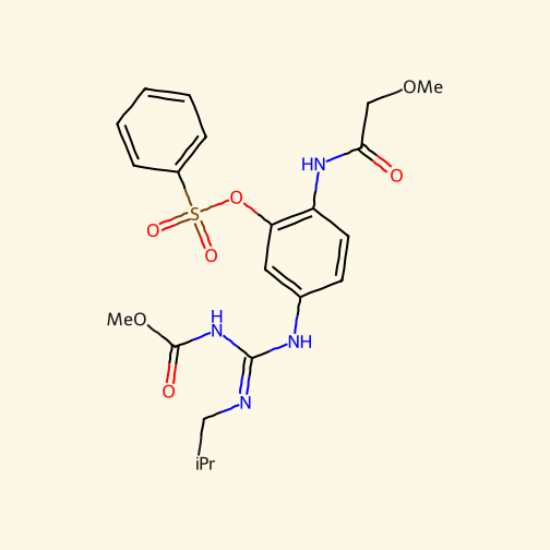 COCC(=O)Nc1ccc(NC(=NCC(C)C)NC(=O)OC)cc1OS(=O)(=O)c1ccccc1